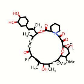 CCC1/C=C(\C)C(O)C(C)CC(OC)C2OC(O)(C(=O)C(=O)N3CCCCC3C(=O)OC(C(C)=CC3CCC(O)C(O)C3)C(C)CCC1=O)C(C)CC2OC